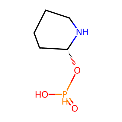 O=[PH](O)O[C@@H]1CCCCN1